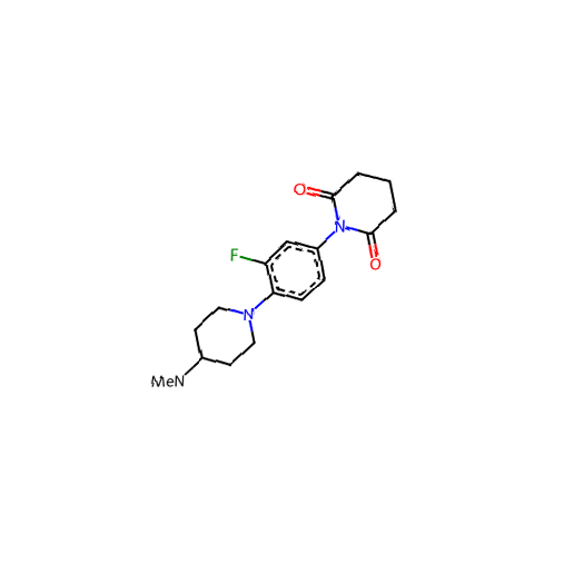 CNC1CCN(c2ccc(N3C(=O)CCCC3=O)cc2F)CC1